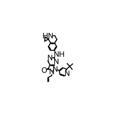 C=CCn1c(=O)c2cnc(Nc3ccc4c(c3)CCNC43CC3)nc2n1-c1ccnc(C(C)(C)C)c1